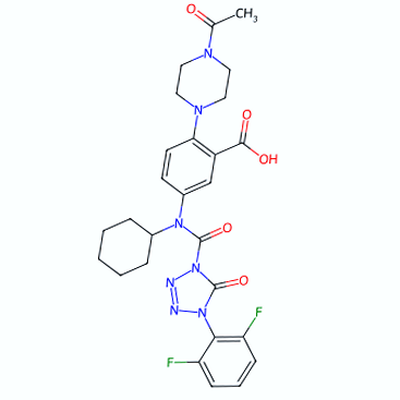 CC(=O)N1CCN(c2ccc(N(C(=O)n3nnn(-c4c(F)cccc4F)c3=O)C3CCCCC3)cc2C(=O)O)CC1